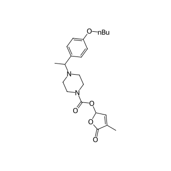 CCCCOc1ccc(C(C)N2CCN(C(=O)OC3C=C(C)C(=O)O3)CC2)cc1